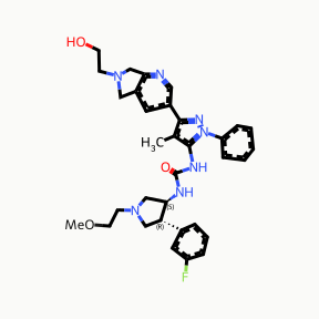 COCCN1C[C@@H](NC(=O)Nc2c(C)c(-c3cnc4c(c3)CN(CCO)C4)nn2-c2ccccc2)[C@H](c2cccc(F)c2)C1